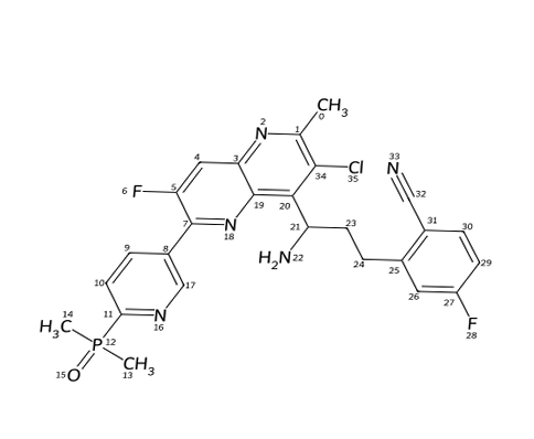 Cc1nc2cc(F)c(-c3ccc(P(C)(C)=O)nc3)nc2c(C(N)CCc2cc(F)ccc2C#N)c1Cl